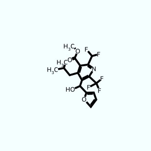 COC(=O)c1c(C(F)F)nc(C(F)(F)F)c(C(O)c2ccco2)c1CC(C)C